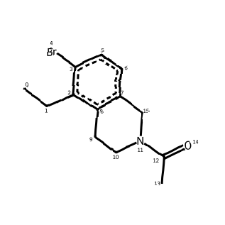 CCc1c(Br)ccc2c1CCN(C(C)=O)C2